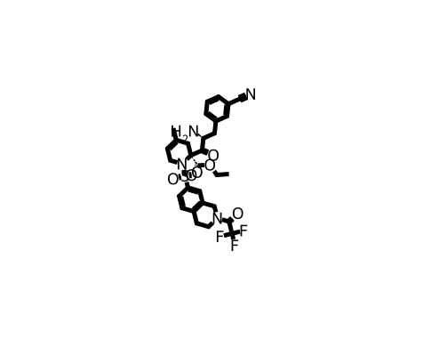 CCOC(=O)[C@@]1(C(=O)[C@H](N)Cc2cccc(C#N)c2)CC(C)=CCN1S(=O)(=O)c1ccc2c(c1)CN(C(=O)C(F)(F)F)CC2